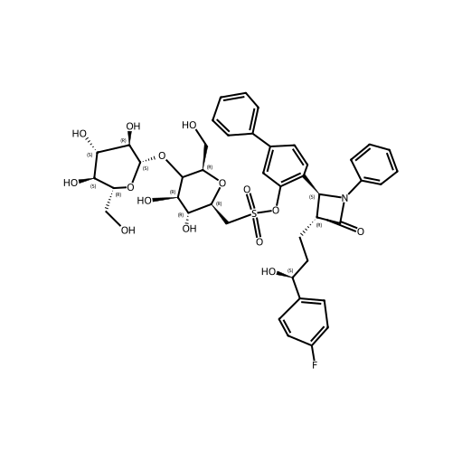 O=C1[C@H](CC[C@H](O)c2ccc(F)cc2)[C@@H](c2ccc(-c3ccccc3)cc2OS(=O)(=O)C[C@@H]2O[C@H](CO)C(O[C@@H]3O[C@H](CO)[C@@H](O)[C@H](O)[C@H]3O)[C@H](O)[C@H]2O)N1c1ccccc1